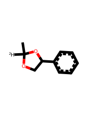 [2H]C1(C)OCC(c2ccccc2)O1